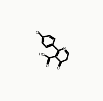 O=C(O)C1=C(c2ccc(Cl)cc2)N=CCC1=O